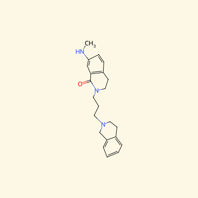 CNc1ccc2c(c1)C(=O)N(CCCN1CCc3ccccc3C1)CC2